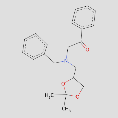 CC1(C)OCC(CN(CC(=O)c2ccccc2)Cc2ccccc2)O1